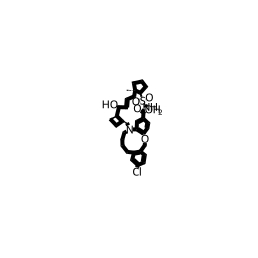 C[C@]1(C/C=C/[C@H](O)[C@@H]2CC[C@H]2CN2CCCCc3cc(Cl)ccc3COc3ccc(C(=O)O)cc32)CCC[C@H]1S(N)(=O)=O